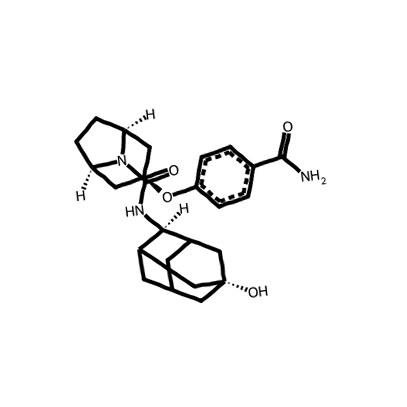 NC(=O)c1ccc(O[C@H]2C[C@H]3CC[C@@H](C2)N3C(=O)N[C@H]2C3CC4CC2C[C@](O)(C4)C3)cc1